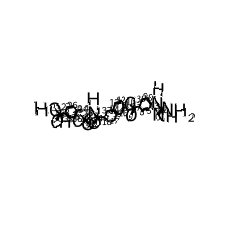 N=C(N)Nc1ccc(C(=O)Oc2ccc3c(c2)CCC(C(=O)N[C@@H](Cc2ccc(C(=O)O)cc2)C(=O)O)C3)cc1